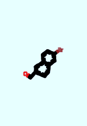 O=Cc1[c]c2ccc(Br)cc2cc1